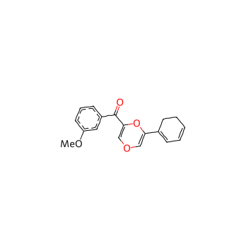 COc1cccc(C(=O)C2=COC=C(C3=CC=CCC3)O2)c1